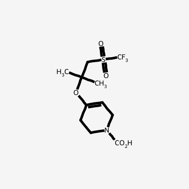 CC(C)(CS(=O)(=O)C(F)(F)F)OC1=CCN(C(=O)O)CC1